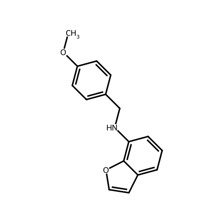 COc1ccc(CNc2cccc3ccoc23)cc1